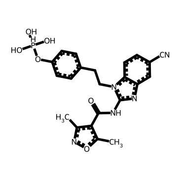 Cc1noc(C)c1C(=O)Nc1nc2cc(C#N)ccc2n1CCc1ccc(O[PH](O)(O)O)cc1